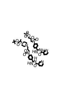 CC(C(=O)OC(C)(C)C)N1CCN(CC2CN(c3ccc(C(=N)NC(=O)c4cccnc4)cc3)C(=O)O2)CC1.CS(=O)(=O)OCC1CN(c2ccc(C(=N)NC(=O)c3cccnc3)cc2)C(=O)O1